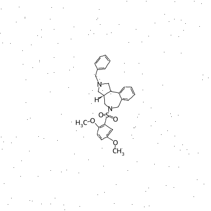 COc1ccc(OC)c(S(=O)(=O)N2Cc3ccccc3C3CN(Cc4ccccc4)C[C@H]3C2)c1